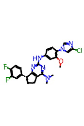 COc1cc(Nc2nc3c(c(N(C)C)n2)CC[C@H]3c2ccc(F)c(F)c2)ccc1-n1cnc(Cl)c1